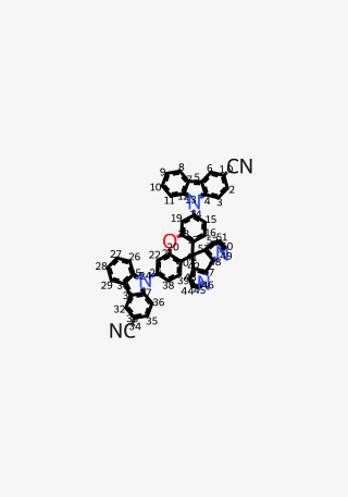 N#Cc1ccc2c(c1)c1ccccc1n2-c1ccc2c(c1)Oc1cc(-n3c4ccccc4c4cc(C#N)ccc43)ccc1C21c2cccnc2-c2ncccc21